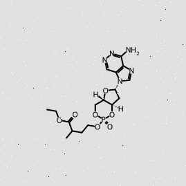 CCOC(=O)C(C)CCOP1(=O)OC[C@@H]2O[C@H](n3cnc4c(N)nncc43)C[C@H]2O1